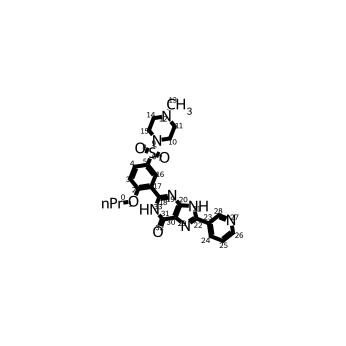 CCCOc1ccc(S(=O)(=O)N2CCN(C)CC2)cc1-c1nc2[nH]c(-c3cccnc3)nc2c(=O)[nH]1